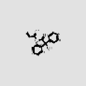 C=CC(=O)OC(=O)C(O)(c1ccccc1)c1ccccc1